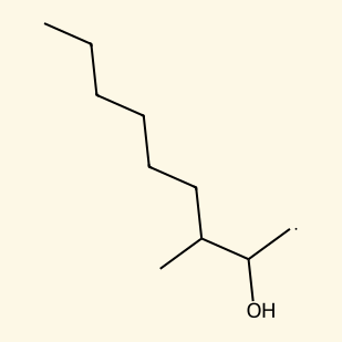 [CH2]C(O)C(C)CCCCCC